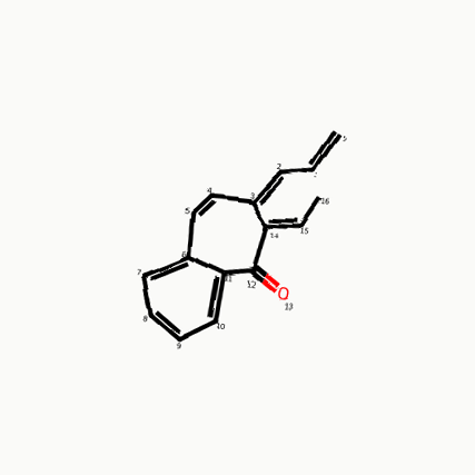 C=C/C=c1/ccc2ccccc2c(=O)/c1=C/C